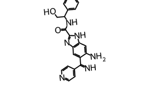 N=C(c1ccncc1)c1cc2nc(C(=O)NC(CO)c3ccccc3)[nH]c2cc1N